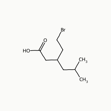 CC(C)CC(CCBr)CC(=O)O